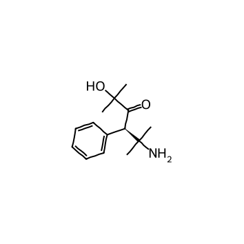 CC(C)(O)C(=O)[C@H](c1ccccc1)C(C)(C)N